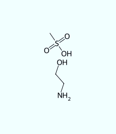 CS(=O)(=O)O.NCCO